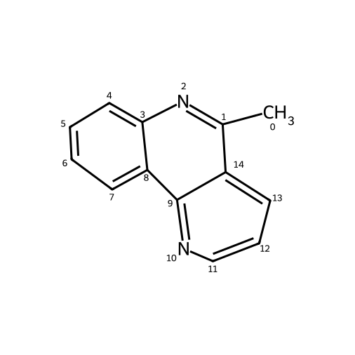 Cc1nc2ccccc2c2ncccc12